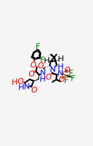 CC(C)[C@H](NS(=O)(=O)C(F)(F)F)C(=O)N1C[C@H]2[C@@H]([C@H]1C(=O)N[C@@H](C[C@@H]1CC(O)NC1=O)C(=O)COc1ccc(F)cc1F)C2(C)C